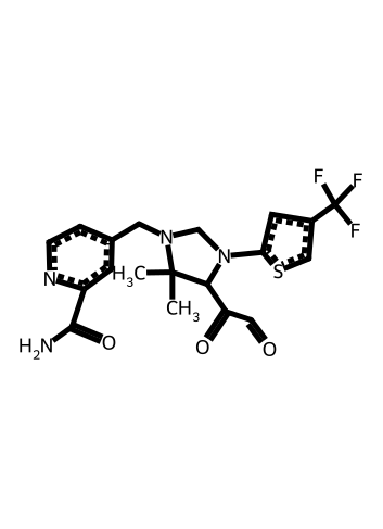 CC1(C)C(C(=O)C=O)N(c2cc(C(F)(F)F)cs2)CN1Cc1ccnc(C(N)=O)c1